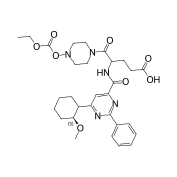 CCOC(=O)ON1CCN(C(=O)C(CCC(=O)O)NC(=O)c2cc(C3CCCC[C@@H]3OC)nc(-c3ccccc3)n2)CC1